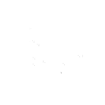 CC(Cl)(C#N)c1cccc2ccc(-c3nnc4ccc([C@@H](N5CC[C@H](N)C5)C(F)(F)F)cn34)nc12